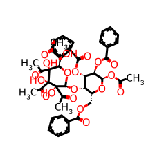 CC(=O)O[C@H]1O[C@H](COC(=O)c2ccccc2)[C@H](O[C@@H]2O[C@H](C(O)C(C)=O)[C@@](O)(C(C)=O)[C@@](O)(C(C)=O)[C@]2(O)C(C)=O)[C@H](OC(=O)c2ccccc2)[C@H]1OC(=O)c1ccccc1